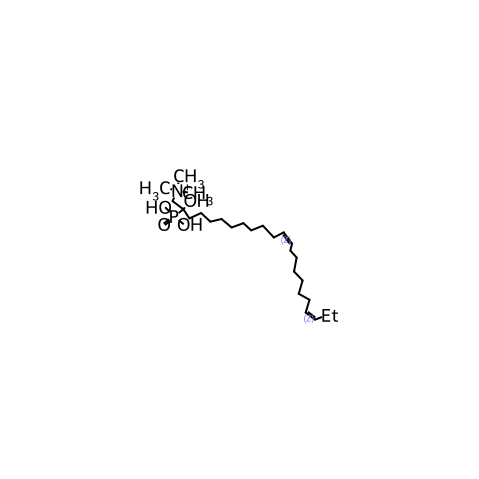 CC/C=C\CCCCCC/C=C\CCCCCCCCCC(O)(C[N+](C)(C)C)P(=O)(O)O